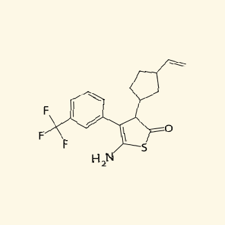 C=CC1CCC(C2C(=O)SC(N)=C2c2cccc(C(F)(F)F)c2)C1